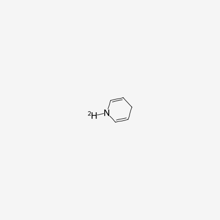 [2H]N1C=CCC=C1